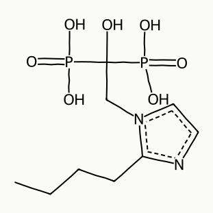 CCCCc1nccn1CC(O)(P(=O)(O)O)P(=O)(O)O